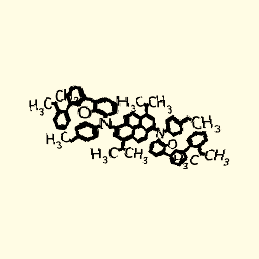 CCc1ccc(N(c2cc(C(C)C)c3ccc4c(N(c5ccc(CC)cc5)c5cccc6c5oc5c(-c7ccccc7C(C)C)cccc56)cc(C(C)C)c5ccc2c3c54)c2cccc3c2oc2c(-c4ccccc4C(C)C)cccc23)cc1